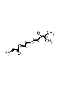 C=CC(=O)OCCOCC[S+]([O-])C(C)C